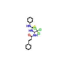 O=C(/C=C/c1ccccc1)NC(NC(=S)Nc1ccccc1)C(Cl)(Cl)Cl